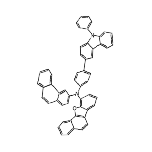 c1ccc(-n2c3ccccc3c3cc(-c4ccc(N(c5ccc6ccc7ccccc7c6c5)c5cccc6c5oc5c7ccccc7ccc65)cc4)ccc32)cc1